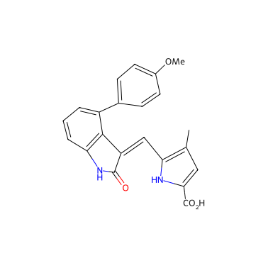 COc1ccc(-c2cccc3c2C(=Cc2[nH]c(C(=O)O)cc2C)C(=O)N3)cc1